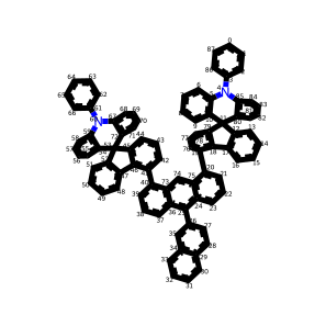 c1ccc(N2c3ccccc3C3(c4ccccc4-c4c(-c5cccc6c(-c7ccc8ccccc8c7)c7cccc(-c8cccc9c8-c8ccccc8C98c9ccccc9N(c9ccccc9)c9ccccc98)c7cc56)cccc43)c3ccccc32)cc1